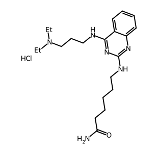 CCN(CC)CCCNc1nc(NCCCCCC(N)=O)nc2ccccc12.Cl